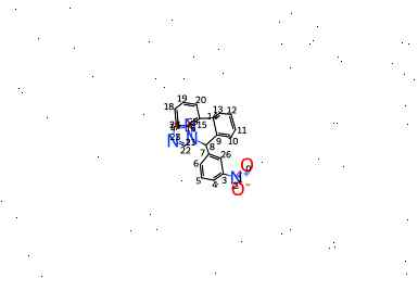 O=[N+]([O-])c1cccc(C(c2ccccc2-c2ccccc2)n2cncn2)c1